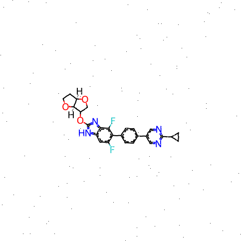 Fc1cc2[nH]c(OC3CO[C@@H]4CCO[C@H]34)nc2c(F)c1-c1ccc(-c2cnc(C3CC3)nc2)cc1